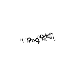 Cc1ccc(COc2cc(F)cc(Oc3ccc(-n4nc(C(C)C)c(N)c4C#N)cc3)c2)cn1